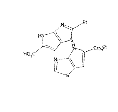 CCOC(=O)c1cc2scnc2[nH]1.CCc1nc2[nH]c(C(=O)O)cc2s1